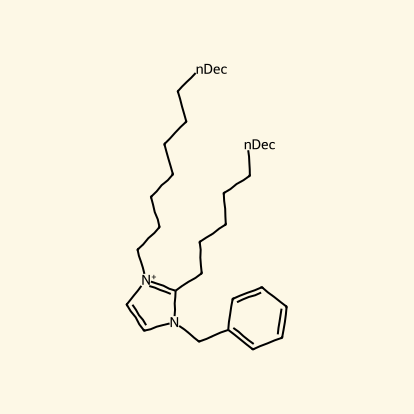 CCCCCCCCCCCCCCCCC[n+]1ccn(Cc2ccccc2)c1CCCCCCCCCCCCCCC